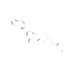 COc1cc(-c2cc(=O)n3cc([C@H]4CCN(C(=O)OC(C)(C)C)C[C@H]4F)sc3n2)nn2cc(C)nc12